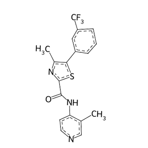 Cc1cnccc1NC(=O)c1nc(C)c(-c2cccc(C(F)(F)F)c2)s1